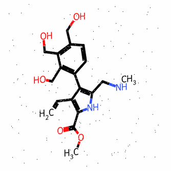 C=Cc1c(C(=O)OC)[nH]c(CNC)c1-c1ccc(CO)c(CO)c1CO